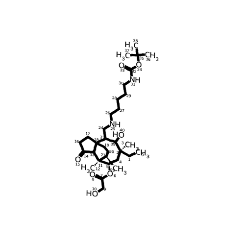 CC[C@@]1(C)C[C@@H](OC(=O)CO)[C@@]2(C)C3C(=O)CCC3(CC[C@H]2C)C(CNCCCCCNC(=O)OC(C)(C)C)C1O